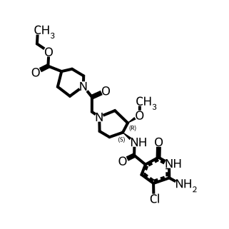 CCOC(=O)C1CCN(C(=O)CN2CC[C@H](NC(=O)c3cc(Cl)c(N)[nH]c3=O)[C@H](OC)C2)CC1